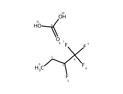 CCC(F)C(F)(F)F.O=C(O)O